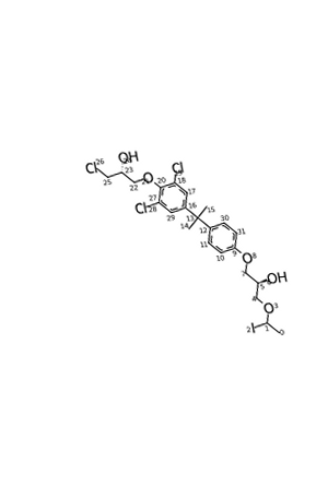 CC(I)OC[C@H](O)COc1ccc(C(C)(C)c2cc(Cl)c(OC[C@@H](O)CCl)c(Cl)c2)cc1